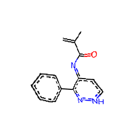 C=C(C)C(=O)N=c1cc[nH]nc1-c1ccccc1